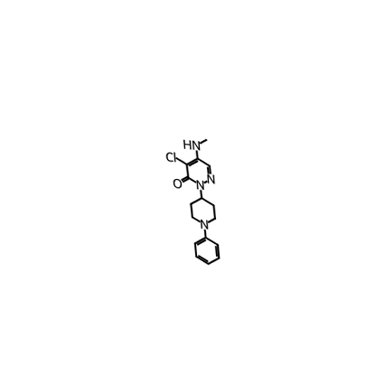 CNc1cnn(C2CCN(c3ccccc3)CC2)c(=O)c1Cl